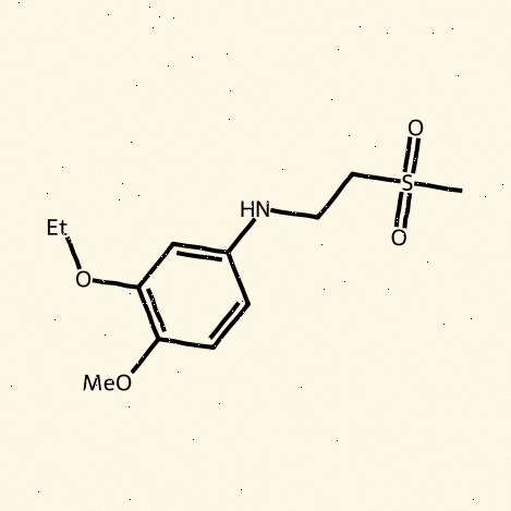 CCOc1cc(NCCS(C)(=O)=O)ccc1OC